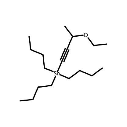 CCC[CH2][Sn]([C]#CC(C)OCC)([CH2]CCC)[CH2]CCC